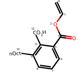 C=COC(=O)c1cccc(CCCCCCCC)c1C(=O)O